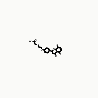 O=C(O)COCCOc1ccc(-c2cc(=O)c3c(F)ccc(Cl)c3o2)cc1